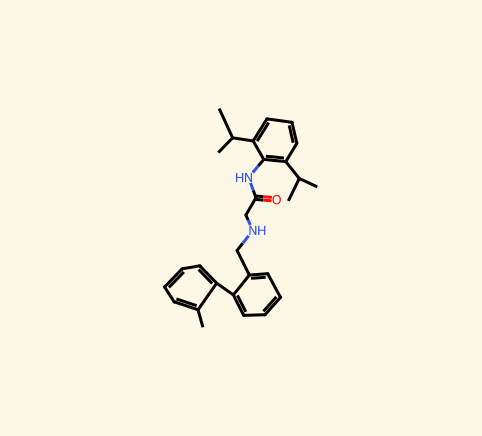 Cc1ccccc1-c1ccccc1CNCC(=O)Nc1c(C(C)C)cccc1C(C)C